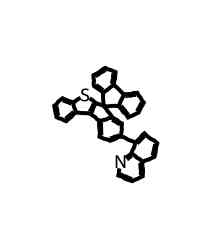 c1ccc2c(c1)-c1ccccc1C21c2cc(-c3cccc4cccnc34)ccc2-c2c1sc1ccccc21